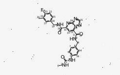 CNC(=O)Nc1ccc(CNC(=O)c2cc(C(=O)NCc3ccc(F)c(C)c3)nc3ncnn23)cc1